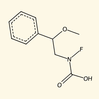 COC(CN(F)C(=O)O)c1ccccc1